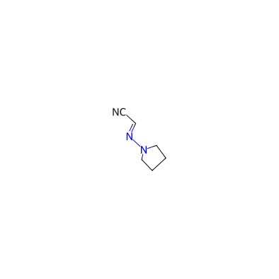 N#CC=NN1CCCC1